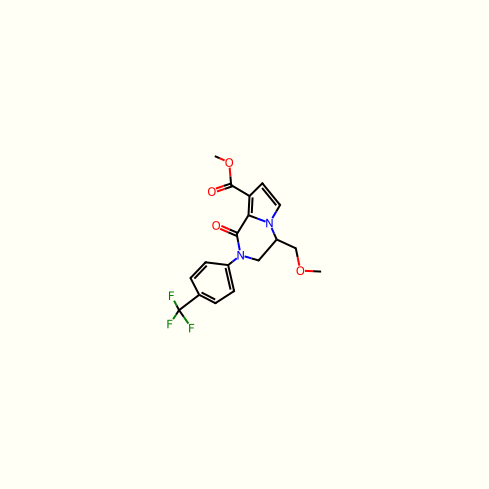 COCC1CN(c2ccc(C(F)(F)F)cc2)C(=O)c2c(C(=O)OC)ccn21